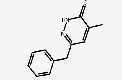 Cc1cc(Cc2ccccc2)n[nH]c1=O